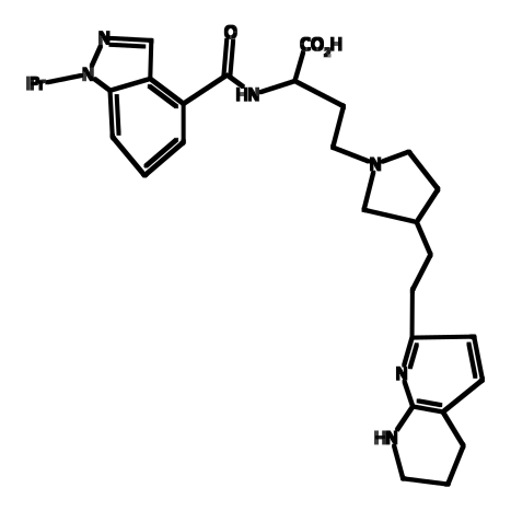 CC(C)n1ncc2c(C(=O)NC(CCN3CCC(CCc4ccc5c(n4)NCCC5)C3)C(=O)O)cccc21